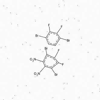 Fc1c(Br)ccc(Br)c1F.O=[N+]([O-])c1c(Br)c(F)c(F)c(Br)c1[N+](=O)[O-]